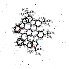 CC(C)(C)c1ccc2c(c1)-c1cc(C(C)(C)C)cc3c1B2c1c2c(c(-n4c5ccccc5c5ccccc54)c(N(c4ccccc4)c4ccccc4)c1-n1c4ccccc4c4ccccc41)B1c4ccc(C(C)(C)C)cc4-c4cc(C(C)(C)C)cc(c41)N32